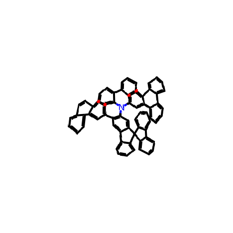 c1ccc(-c2ccccc2N(c2ccc3c4ccccc4c4ccccc4c3c2)c2cc3c(cc2-c2ccc4ccc5ccccc5c4c2)-c2ccccc2C32c3ccccc3-c3ccccc32)cc1